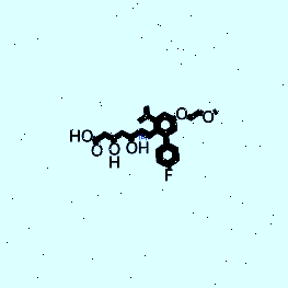 COCCOc1cc(-c2ccc(F)cc2)c(/C=C/C(O)CC(O)CC(=O)O)c(C(C)C)c1